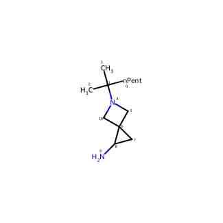 CCCCCC(C)(C)N1CC2(CC2N)C1